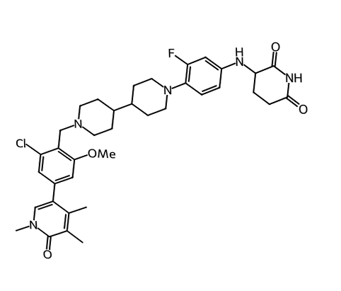 COc1cc(-c2cn(C)c(=O)c(C)c2C)cc(Cl)c1CN1CCC(C2CCN(c3ccc(NC4CCC(=O)NC4=O)cc3F)CC2)CC1